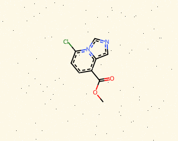 COC(=O)c1ccc(Cl)n2cncc12